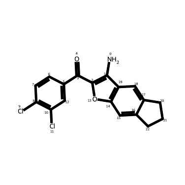 Nc1c(C(=O)c2ccc(Cl)c(Cl)c2)oc2cc3c(cc12)CCC3